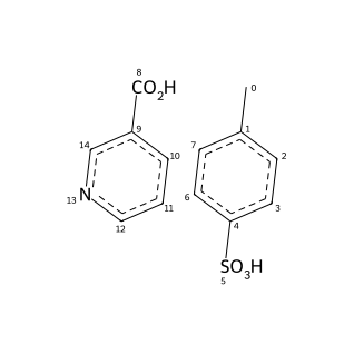 Cc1ccc(S(=O)(=O)O)cc1.O=C(O)c1cccnc1